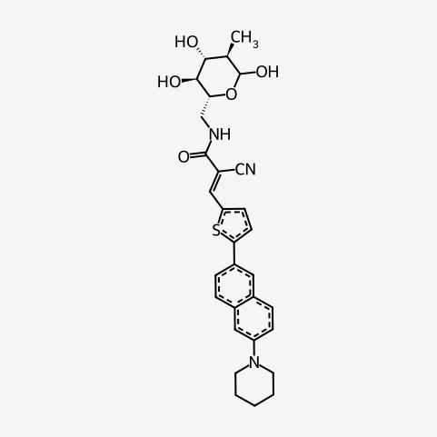 C[C@H]1C(O)O[C@H](CNC(=O)/C(C#N)=C/c2ccc(-c3ccc4cc(N5CCCCC5)ccc4c3)s2)[C@@H](O)[C@@H]1O